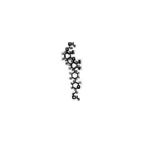 CCCC1CCC(C2CCC(c3cc4c(c(F)c3F)Oc3c(ccc(OCC)c3F)C4)CC2)CO1